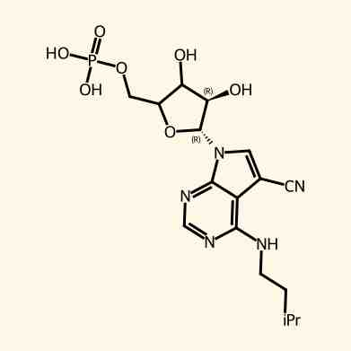 CC(C)CCNc1ncnc2c1c(C#N)cn2[C@@H]1OC(COP(=O)(O)O)C(O)[C@H]1O